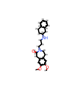 COc1cc2c(cc1OC)CC(=O)N(CCCNC1CCc3ccccc3C1)CC2